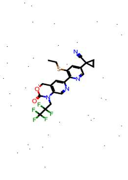 CCSc1cc(C2(C#N)CC2)cnc1-c1cc2c(cn1)N(CC(F)(F)C(F)(F)F)C(=O)OC2